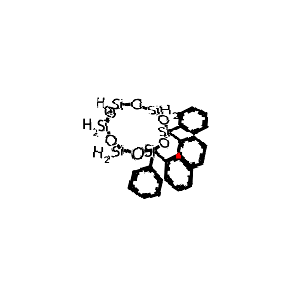 c1ccc([Si]2(c3ccccc3)O[SiH2]O[SiH2]O[SiH2]O[SiH2]O[Si](c3ccccc3)(c3ccccc3)O2)cc1